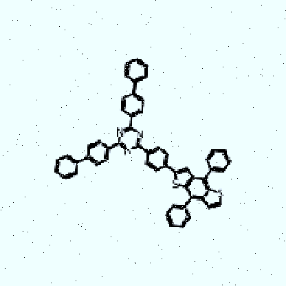 c1ccc(-c2ccc(-c3nc(-c4ccc(-c5ccccc5)cc4)nc(-c4ccc(-c5cc6c(-c7ccccc7)c7sccc7c(-c7ccccc7)c6s5)cc4)n3)cc2)cc1